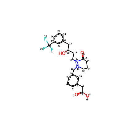 COC(=O)Cc1cccc(CN2CCCC(=O)N2CCC(O)Cc2cccc(C(F)(F)F)c2)c1